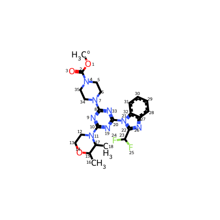 COC(=O)N1CCN(c2nc(N3CCOC(C)C3C)nc(-n3c(C(F)F)nc4ccccc43)n2)CC1